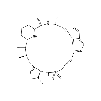 CC(C)[C@@H]1NS(=O)(=O)C/C=C/c2cc3cc(ccc3cn2)[C@@H](C)NC(=O)[C@@H]2CCCN(N2)C(=O)[C@H](C)NC1=O